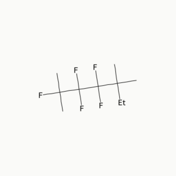 CCC(C)(C)C(F)(F)C(F)(F)C(C)(C)F